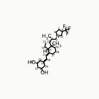 C[C@H](CN1CCC(C(F)(F)F)C1)[C@H]1CC[C@H]2C(=CC=C3C[C@@H](O)C[C@H](O)C3)CCC[C@]12C